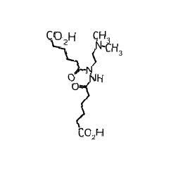 CN(C)CCN(NC(=O)CCCCC(=O)O)C(=O)CCCCC(=O)O